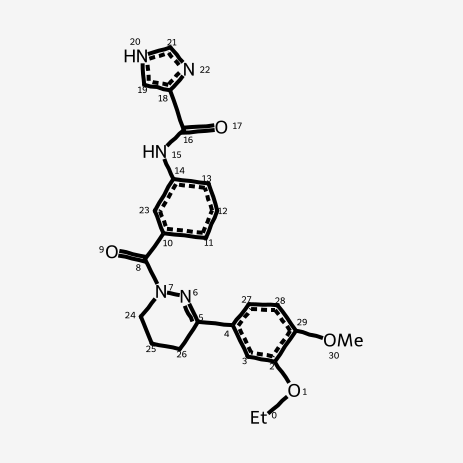 CCOc1cc(C2=NN(C(=O)c3cccc(NC(=O)c4c[nH]cn4)c3)CCC2)ccc1OC